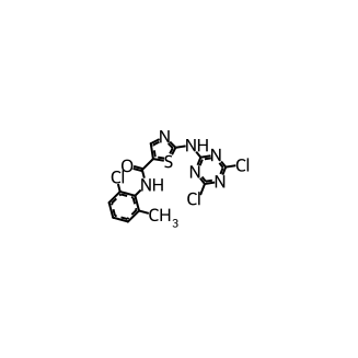 Cc1cccc(Cl)c1NC(=O)c1cnc(Nc2nc(Cl)nc(Cl)n2)s1